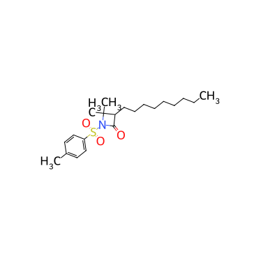 CCCCCCCCCC1C(=O)N(S(=O)(=O)c2ccc(C)cc2)C1(C)C